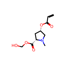 C=CC(=O)O[C@H]1C[C@@H](C(=O)OCO)N(C)C1